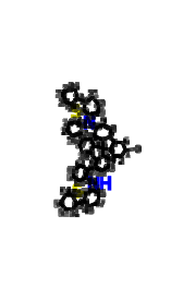 CC1C=CC2C(C1)C1C=CC(N(C3=CCCC=C3)C3CCCC4C5CCC=CC5SC43)CC1C21C2CCCCC2C2C(C3=C(NC4CCCC5C6CCCCC6SC45)CCCC3)=CCCC21